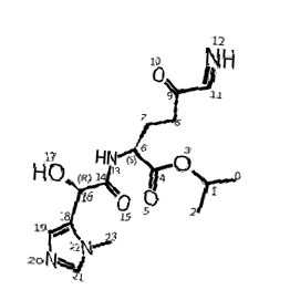 CC(C)OC(=O)[C@H](CCC(=O)C=N)NC(=O)[C@H](O)c1cncn1C